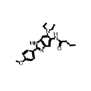 CCCC(=O)Nc1cc2nc(-c3ccc(OC)cc3)[nH]c2cc1N(CC)CC